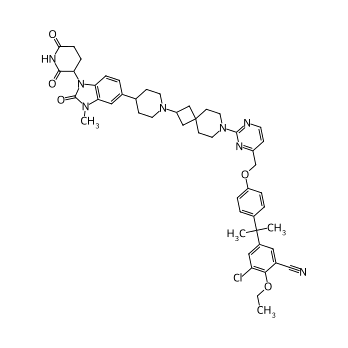 CCOc1c(Cl)cc(C(C)(C)c2ccc(OCc3ccnc(N4CCC5(CC4)CC(N4CCC(c6ccc7c(c6)n(C)c(=O)n7C6CCC(=O)NC6=O)CC4)C5)n3)cc2)cc1C#N